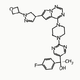 C[C@](O)(c1ccc(F)cc1)c1cnc(N2CCN(c3ncnn4cc(C5C=NN(C6COC6)C5)cc34)CC2)nc1